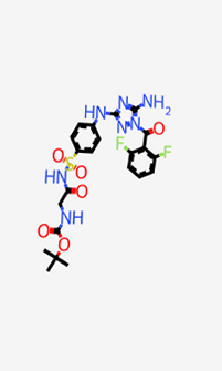 CC(C)(C)OC(=O)NCC(=O)NS(=O)(=O)c1ccc(Nc2nc(N)n(C(=O)c3c(F)cccc3F)n2)cc1